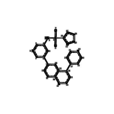 O=S(=O)(Nc1cncc(-c2ccc3nccc(-c4ccncc4)c3c2)c1)c1ccco1